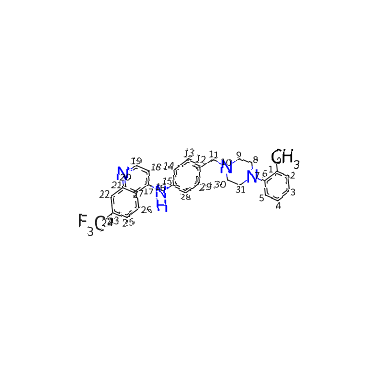 Cc1ccccc1N1CCN(Cc2ccc(Nc3ccnc4cc(C(F)(F)F)ccc34)cc2)CC1